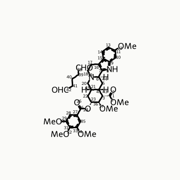 COC(=O)[C@H]1[C@H]2C[C@@H]3c4[nH]c5cc(OC)ccc5c4CCN3C[C@H]2C[C@@H](OC(=O)c2cc(OC)c(OC)c(OC)c2)[C@@H]1OC.O=CCCCC=O